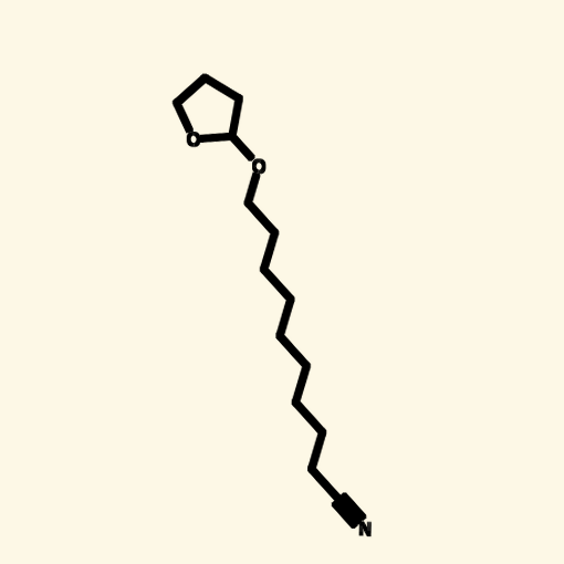 N#CCCCCCCCCCOC1CCCO1